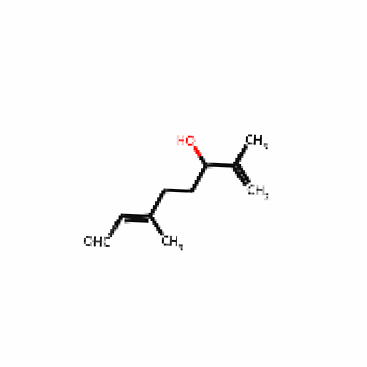 C=C(C)C(O)CC/C(C)=C/C=O